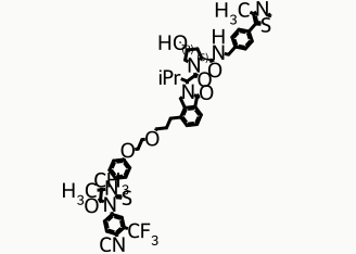 Cc1ncsc1-c1ccc(CNC(=O)[C@@H]2C[C@@H](O)CN2C(=O)C(C(C)C)N2Cc3c(CCCOCCOc4ccc(N5C(=S)N(c6ccc(C#N)c(C(F)(F)F)c6)C(=O)C5(C)C)cc4)cccc3C2=O)cc1